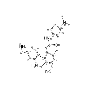 Cc1nc(CC(C)C)c(CN)c(-c2ccc(CN)cc2)c1CC(=O)Nc1ccc(N(C)C)cc1